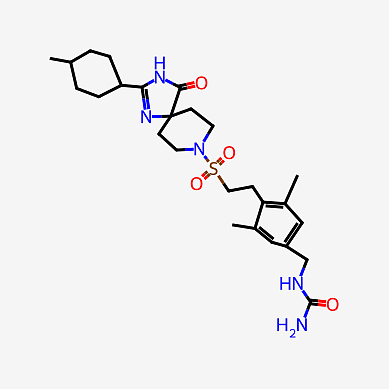 Cc1cc(CNC(N)=O)cc(C)c1CCS(=O)(=O)N1CCC2(CC1)N=C(C1CCC(C)CC1)NC2=O